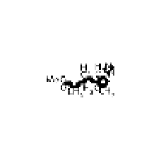 COC(=O)C=C(C)C=CC=C(C)C=CC1=C(C)C(n2cncn2)CCC1(C)C